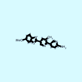 COc1ccc2nc(-c3cnc(-c4ccc(N)nc4)c(C)c3)sc2c1